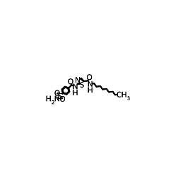 CCCCCCCCCNC(=O)c1cnc(NC(=O)c2ccc(S(N)(=O)=O)cc2)s1